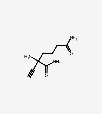 C#CC(N)(CCCC(N)=O)C(N)=O